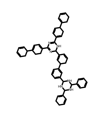 C1=CCCC(C2C=CC(C3=NC(C4=CC=C(C5C=CC=CC5)CC4)=NC(C4=CC(c5cccc(C6NC(C7=CCCC=C7)NC(c7ccccc7)N6)c5)CC=C4)N3)=CC2)=C1